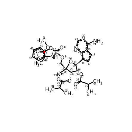 COC(=O)C(C)N[P@@](=O)(OC[C@@]1(C#N)O[C@@H](c2ccc3c(N)ncnn23)[C@H](OC(=O)C(C)C)[C@@H]1OC(=O)C(C)C)Oc1ccccc1